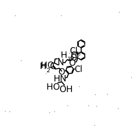 C=CCOc1cc(OCC2(OCCCN3CCC(O)C3)C=CC=C(c3ccccc3)[C@@]2(C)Cl)c(Cl)cc1CNC(CO)CO